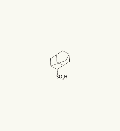 O=S(=O)(O)C1C2CC3CC(C2)CC1C3